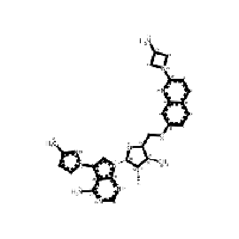 Cc1ccn(-c2cn([C@@H]3OC(COc4ccc5ccc(N6CC(N)C6)nc5c4)[C@@H](C)[C@@H]3F)c3ncnc(N)c23)n1